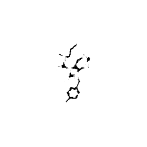 CCCN(C)C(=O)n1c(=O)n(Cc2ccc(C)cc2)c2ncncc21